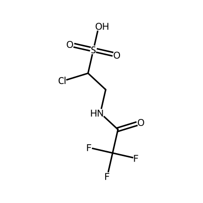 O=C(NCC(Cl)S(=O)(=O)O)C(F)(F)F